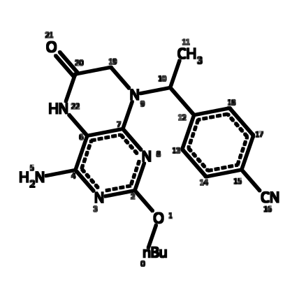 CCCCOc1nc(N)c2c(n1)N(C(C)c1ccc(C#N)cc1)CC(=O)N2